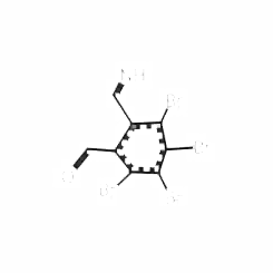 N=Cc1c(Br)c(Br)c(Br)c(Br)c1C=O